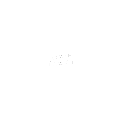 C=C.[CH]=C